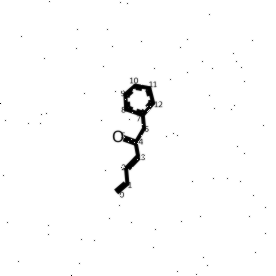 C=CC=CC(=O)Cc1ccccc1